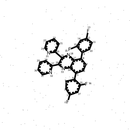 Fc1ccc(-c2ccc(-c3ccc(F)cc3F)c3nc(-c4ccccn4)c(-c4ccccn4)nc23)c(F)c1